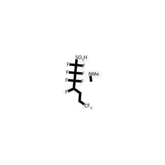 CNC.O=S(=O)(O)C(F)(F)C(F)(F)C(F)(F)C(F)CCC(F)(F)F